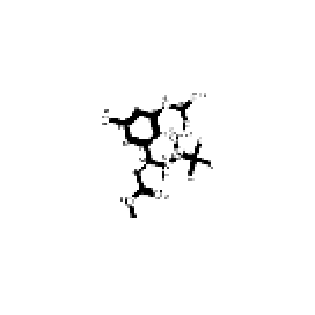 COC(=O)C[C@H](N[S+]([O-])C(C)(C)C)c1cc(Cl)cc(OC(F)F)c1